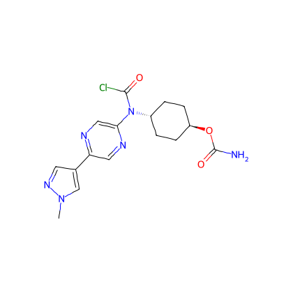 Cn1cc(-c2cnc(N(C(=O)Cl)[C@H]3CC[C@H](OC(N)=O)CC3)cn2)cn1